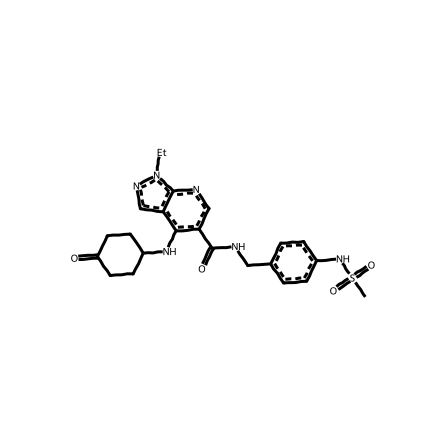 CCn1ncc2c(NC3CCC(=O)CC3)c(C(=O)NCc3ccc(NS(C)(=O)=O)cc3)cnc21